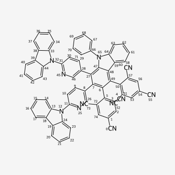 N#Cc1cc(C#N)c(-c2c(-c3ccc(-n4c5ccccc5c5ccccc54)nc3)c(-c3ccc(-n4c5ccccc5c5ccccc54)nc3)c3c(c2-c2c(C#N)cc(C#N)cc2C#N)c2ccccc2n3-c2ccccc2)c(C#N)c1